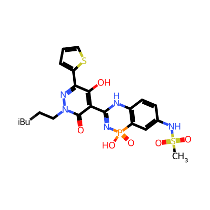 CCC(C)CCn1nc(-c2cccs2)c(O)c(C2=NP(=O)(O)c3cc(NS(C)(=O)=O)ccc3N2)c1=O